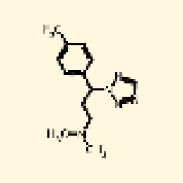 CN(C)CCC(c1ccc(C(F)(F)F)cc1)n1ncnn1